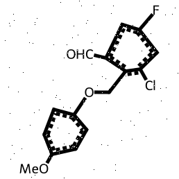 COc1ccc(OCc2c(Cl)cc(F)cc2C=O)cc1